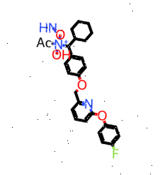 CC(=O)[N+](O)(O[NH])C(c1ccc(OCc2cccc(Oc3ccc(F)cc3)n2)cc1)C1CCCCC1